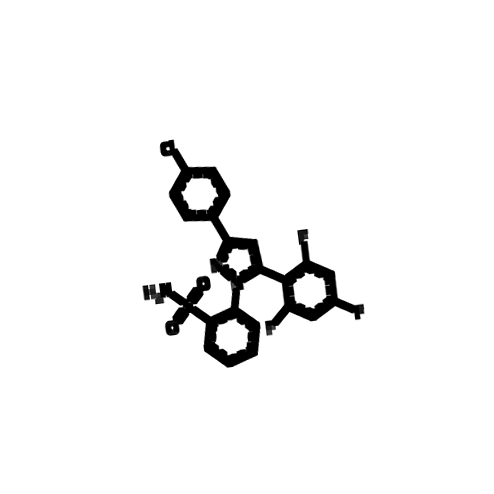 NS(=O)(=O)c1ccccc1-n1nc(-c2ccc(Cl)cc2)cc1-c1c(F)cc(F)cc1F